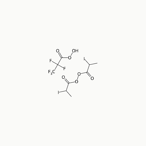 CC(I)C(=O)OOC(=O)C(C)I.O=C(OO)C(F)(F)C(F)(F)F